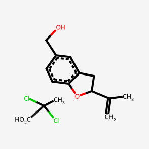 C=C(C)C1Cc2cc(CO)ccc2O1.CC(Cl)(Cl)C(=O)O